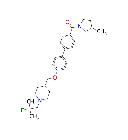 CC1CCN(C(=O)c2ccc(-c3ccc(OCC4CCN(CC(C)(C)F)CC4)cc3)cc2)C1